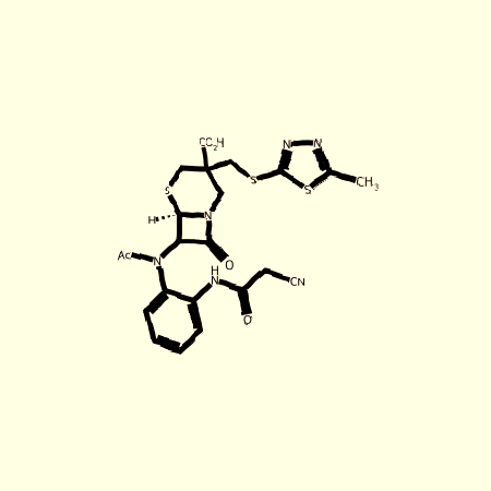 CC(=O)N(c1ccccc1NC(=O)CC#N)C1C(=O)N2CC(CSc3nnc(C)s3)(C(=O)O)CS[C@H]12